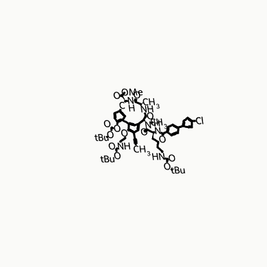 CC#Cc1cc2cc(c1OCCNC(=O)OC(C)(C)C)-c1cc(ccc1OC(=O)OC(C)(C)C)C[C@@H](C(=O)OC)NC(=O)[C@H](C)NC(=O)[C@H]2N(C)C(=O)[C@H](CCCCNC(=O)OC(C)(C)C)NC(=O)c1ccc(-c2ccc(Cl)cc2)cc1